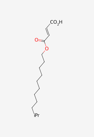 CC(C)CCCCCCCCCOC(=O)C=CC(=O)O